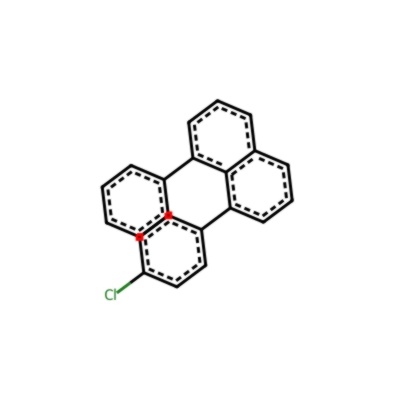 Clc1ccc(-c2cccc3cccc(-c4ccccc4)c23)cc1